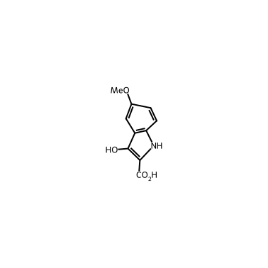 COc1ccc2[nH]c(C(=O)O)c(O)c2c1